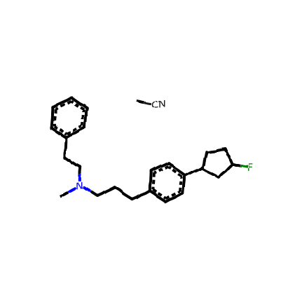 CC#N.CN(CCCc1ccc(C2CCC(F)C2)cc1)CCc1ccccc1